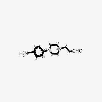 Nc1ccc(N2CCN(CCC=O)CC2)cc1